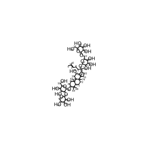 CC(C)=CCCC(C)(OC1OC(COC2OC(CO)C(O)C(O)C2O)C(O)C(O)C1O)C1CCC2(C)C1C(O)CC1C3(C)CCC(OC4OC(CO)C(O)C(O)C4OC4OCC(O)C(O)C4O)C(C)(C)C3CCC12C